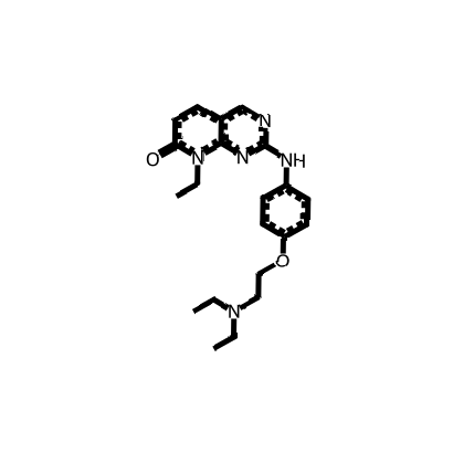 CCN(CC)CCOc1ccc(Nc2ncc3ccc(=O)n(CC)c3n2)cc1